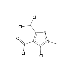 Cn1nc(C(Cl)Cl)c(C(=O)Cl)c1Cl